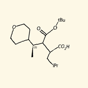 CC(C)CC(C(=O)O)C(C(=O)OC(C)(C)C)[C@@H](C)C1CCOCC1